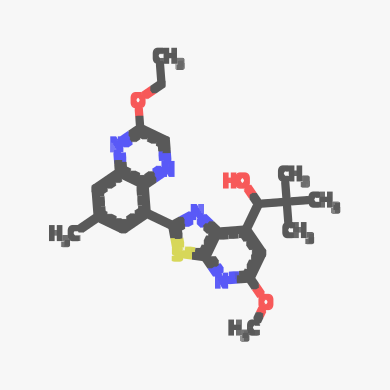 CCOc1cnc2c(-c3nc4c(C(O)C(C)(C)C)cc(OC)nc4s3)cc(C)cc2n1